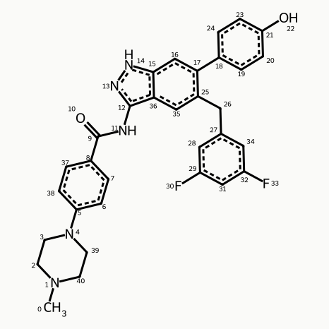 CN1CCN(c2ccc(C(=O)Nc3n[nH]c4cc(-c5ccc(O)cc5)c(Cc5cc(F)cc(F)c5)cc34)cc2)CC1